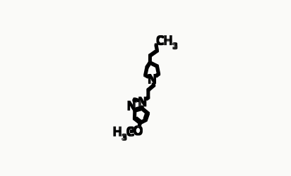 CCCCC1CCN(CCCn2cnc3cc(OC)ccc32)CC1